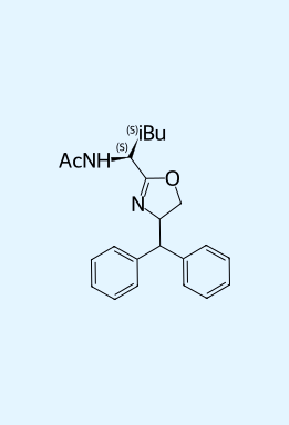 CC[C@H](C)[C@H](NC(C)=O)C1=NC(C(c2ccccc2)c2ccccc2)CO1